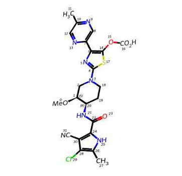 CO[C@H]1CN(c2nc(-c3cnc(C)cn3)c(OC(=O)O)s2)CC[C@H]1NC(=O)c1[nH]c(C)c(Cl)c1C#N